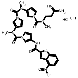 CN(CCC(=N)N)C(=O)n1ccc(N(C)C(=O)n2ccc(N(C)C(=O)n3ccc(NC(=O)c4cc5c([N+](=O)[O-])cccc5o4)c3)c2)c1.Cl.Cl